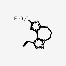 C=Cc1cnn2c1-c1cc(C(=O)OCC)sc1CCC2